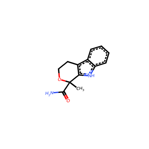 CC1(C(N)=O)OCCc2c1[nH]c1ccccc21